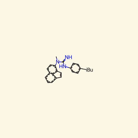 CCC(C)c1ccc(NC(=N)N(C)c2ccc3cccc4c3c2C=C4)cc1